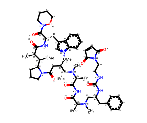 CC[C@H](C)[C@@H]([C@@H](CC(=O)N1CCC[C@H]1[C@H](OC)[C@@H](C)C(=O)N[C@@H](Cc1c[nH]c2ccccc12)C(=O)N1CCCCO1)OC)N(C)[C@H](C(=O)NC(=O)[C@H](C(C)C)N(C)C[C@H](Cc1ccccc1)NC(=O)NCCN1C(=O)C=CC1=O)C(C)C